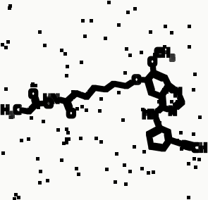 C#Cc1cccc(Nc2ncnc3cc(OC)c(OCCCCCCC(=O)NOC(=O)CC)cc23)c1